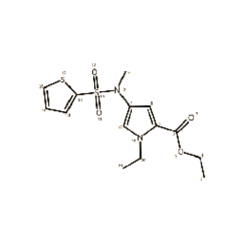 CCOC(=O)c1cc(N(C)S(=O)(=O)c2cccs2)cn1CC